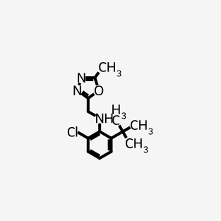 Cc1nnc(CNc2c(Cl)cccc2C(C)(C)C)o1